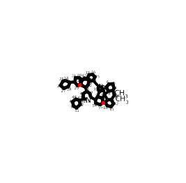 CC1(C)c2ccccc2C2(c3ccc(-c4cccc(-c5ccc(-c6ccccc6)cc5)c4)cc3-c3c(-c4cc(-c5ccccc5)cc(-c5ccccc5)n4)cccc32)c2ccccc21